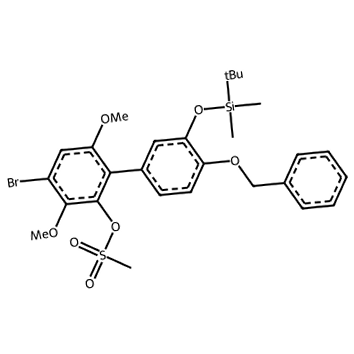 COc1cc(Br)c(OC)c(OS(C)(=O)=O)c1-c1ccc(OCc2ccccc2)c(O[Si](C)(C)C(C)(C)C)c1